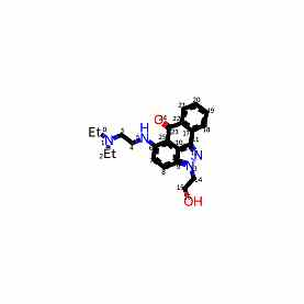 CCN(CC)CCNc1ccc2c3c(nn2CCO)-c2ccccc2C(=O)c13